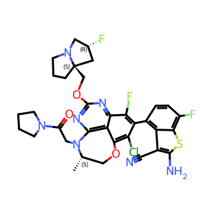 C[C@H]1COc2c(Cl)c(-c3ccc(F)c4sc(N)c(C#N)c34)c(F)c3nc(OC[C@@]45CCCN4C[C@H](F)C5)nc(c23)N1CC(=O)N1CCCC1